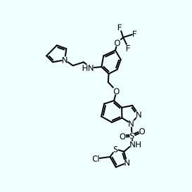 O=S(=O)(Nc1ncc(Cl)s1)n1ncc2c(OCc3ccc(OC(F)(F)F)cc3NCCn3cccc3)cccc21